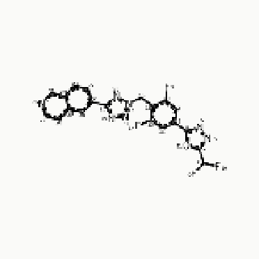 Fc1cc(-c2nnc(C(F)F)o2)cc(F)c1Cn1nnc(-c2ccc3cnccc3c2)n1